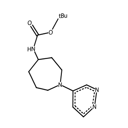 CC(C)(C)OC(=O)NC1CCCN(c2ccnnc2)CC1